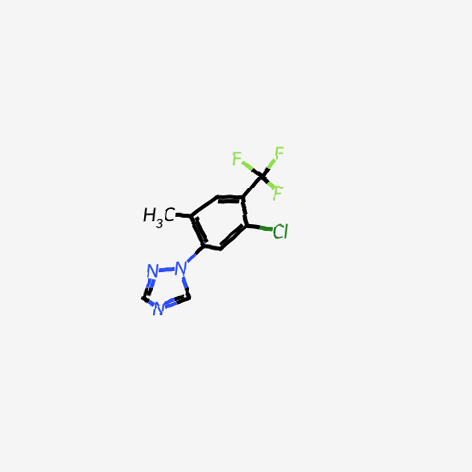 Cc1cc(C(F)(F)F)c(Cl)cc1-n1cncn1